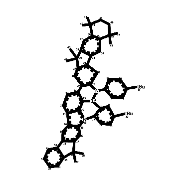 CC(C)(C)c1ccc(N2B3c4cc(C(C)(C)C)ccc4-n4c5cc6c(cc5c5ccc(c3c54)-c3cc4c(cc32)-c2cc3c(cc2C4(C)C)C(C)(C)CCC3(C)C)-c2ccccc2C6(C)C)cc1